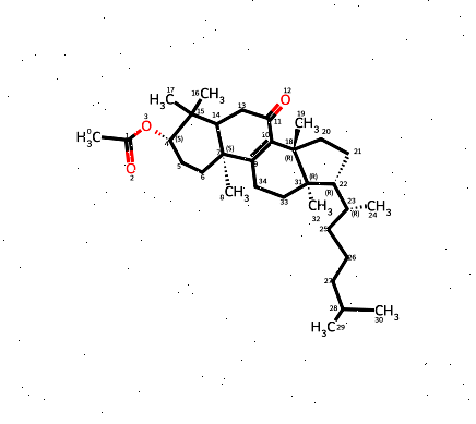 CC(=O)O[C@H]1CC[C@]2(C)C3=C(C(=O)CC2C1(C)C)[C@]1(C)CC[C@H]([C@H](C)CCCC(C)C)[C@@]1(C)CC3